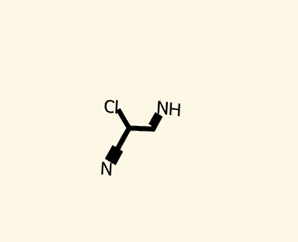 N#CC(Cl)C=N